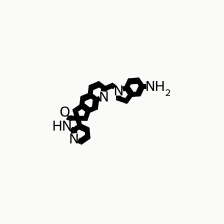 Nc1ccc2c(c1)CCN2Cc1ccc2cc3c(cc2n1)CC1(C3)C(=O)Nc2ncccc21